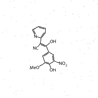 COc1cc(/C(O)=C(\C#N)c2ccccn2)cc([N+](=O)[O-])c1O